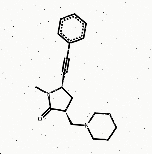 CN1C(=O)[C@H](CN2CCCCC2)C[C@@H]1C#Cc1ccccc1